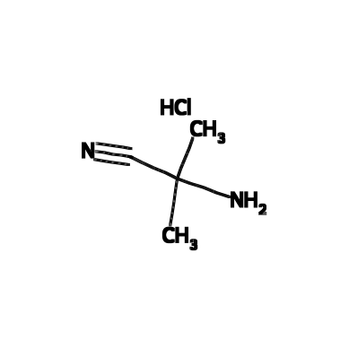 CC(C)(N)C#N.Cl